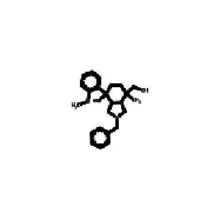 COc1ccccc1C1(O)CCC(C)(CO)C2CN(Cc3ccccc3)CC21